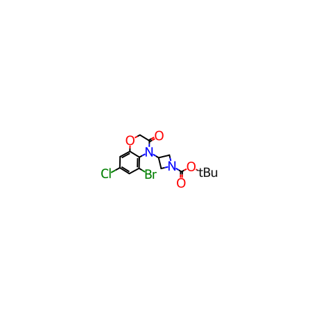 CC(C)(C)OC(=O)N1CC(N2C(=O)COc3cc(Cl)cc(Br)c32)C1